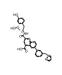 O=C(N[C@H](COO)Cc1ccc(O)cc1)c1cc(C(=O)O)c2cc(-c3cccc(Cn4cccn4)c3)ccc2n1